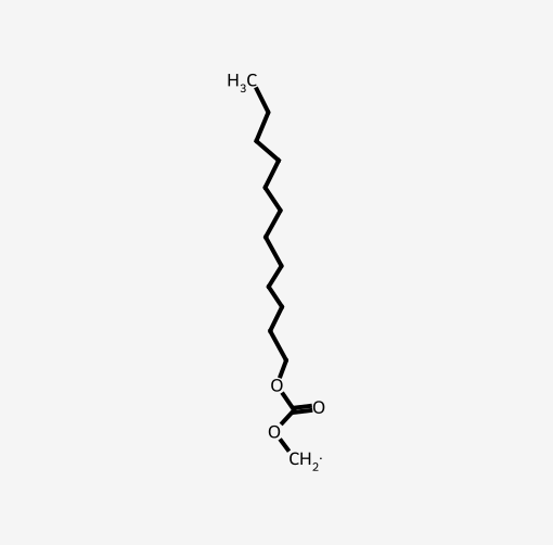 [CH2]OC(=O)OCCCCCCCCCCCC